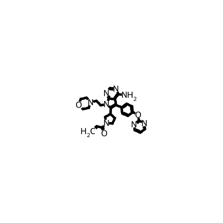 C=CC(=O)N1CCC(c2c(-c3ccc(Oc4ncccn4)cc3)c3c(N)ncnc3n2CCN2CCOCC2)C1